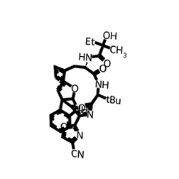 CCC(C)(O)C(=O)N[C@H]1Cc2ccc3c(c2)C2(c4ccccc4NC2O3)c2oc(nc2-c2nc(C#N)co2)C(C(C)(C)C)NC1=O